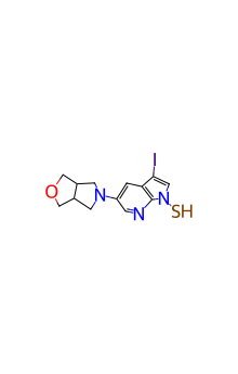 Sn1cc(I)c2cc(N3CC4COCC4C3)cnc21